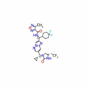 Cc1nonc1C(=O)N[C@H](c1cn2ncc([C@@H](C3CC3)N3C[C@H](CC(F)(F)F)NC3=O)cc2n1)C1CCC(F)(F)CC1